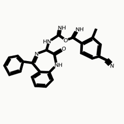 Cc1cc(C#N)ccc1C(=N)OC(=N)NC1N=C(c2ccccc2)c2ccccc2NC1=O